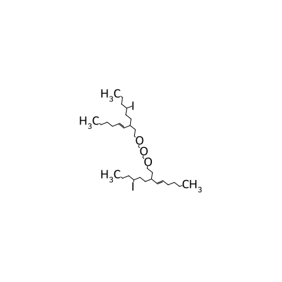 CCCCC=CC(CCOCOCOCCC(C=CCCCC)CCC(I)CCC)CCC(I)CCC